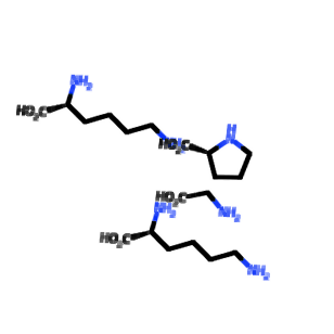 NCC(=O)O.NCCCC[C@H](N)C(=O)O.NCCCC[C@H](N)C(=O)O.O=C(O)[C@@H]1CCCN1